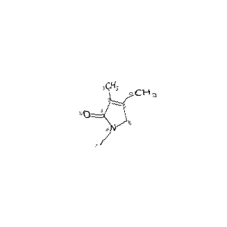 CC1=C(C)C(=O)N(I)C1